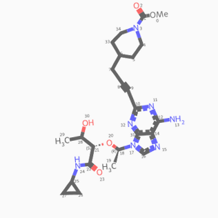 COC(=O)N1CCC(CC#Cc2nc(N)c3ncn([C@@H](C)O[C@H](C(=O)NC4CC4)C(C)O)c3n2)CC1